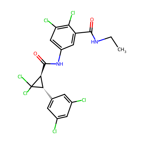 CCNC(=O)c1cc(NC(=O)[C@H]2[C@H](c3cc(Cl)cc(Cl)c3)C2(Cl)Cl)cc(Cl)c1Cl